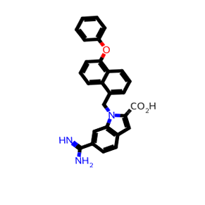 N=C(N)c1ccc2cc(C(=O)O)n(Cc3cccc4c(Oc5ccccc5)cccc34)c2c1